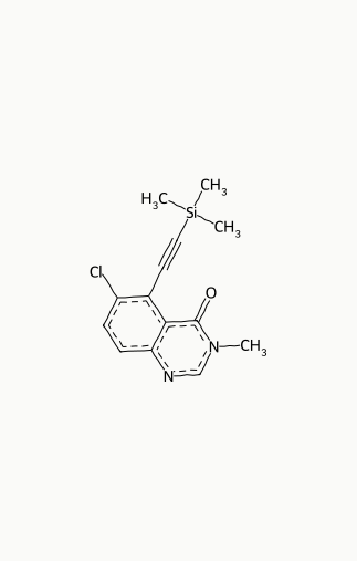 Cn1cnc2ccc(Cl)c(C#C[Si](C)(C)C)c2c1=O